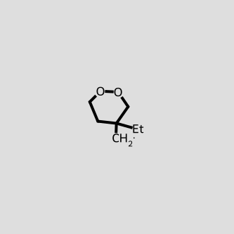 [CH2]C1(CC)CCOOC1